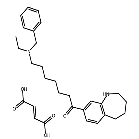 CCN(CCCCCCC(=O)c1ccc2c(c1)NCCCC2)Cc1ccccc1.O=C(O)/C=C/C(=O)O